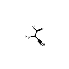 C#CC(C)C(=O)[S]